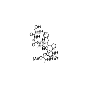 COC(=O)C(C)NC(=O)[C@H](NC(=O)[C@@H]1CCCC1C(O)C(Cc1ccccc1)NC(=O)[C@H](C)NC(=O)[C@H](C)NC(=O)[C@@H](N)CO)C(C)C